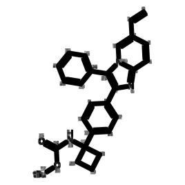 C=Cc1ccc2nc(-c3ccc(C4(NC(=O)OC(C)(C)C)CCC4)cc3)c(-c3ccccc3)n2c1